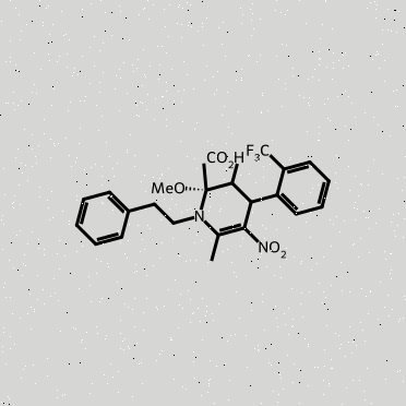 CO[C@]1(C)C(C(=O)O)C(c2ccccc2C(F)(F)F)C([N+](=O)[O-])=C(C)N1CCc1ccccc1